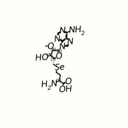 CO[C@@H]1[C@H](O)[C@@H](C[Se]CC[C@H](N)C(=O)O)O[C@H]1n1cnc2c(N)ncnc21